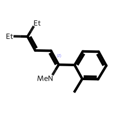 CCC(=C/C=C(\NC)c1ccccc1C)CC